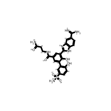 N=C(N)c1ccc2[nH]c(-c3cc(C(=O)NCCC(N)=O)cc(-c4cc(S(N)(=O)=O)ccc4O)c3O)nc2c1